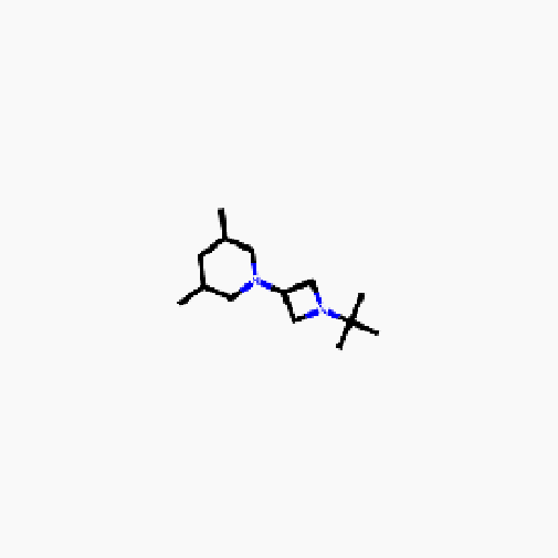 CC1CC(C)CN(C2CN(C(C)(C)C)C2)C1